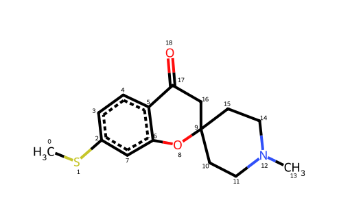 CSc1ccc2c(c1)OC1(CCN(C)CC1)CC2=O